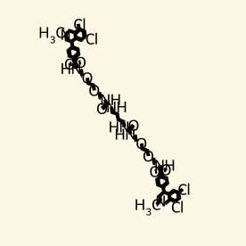 CN1Cc2c(Cl)cc(Cl)cc2C(c2ccc(S(=O)(=O)NCCOCCOCCNC(=O)NCCCCNC(=O)NCCOCCOCCNS(=O)(=O)c3ccc(C4CN(C)Cc5c(Cl)cc(Cl)cc54)cc3)cc2)C1